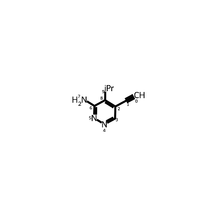 C#Cc1cnnc(N)c1C(C)C